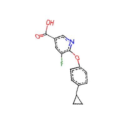 O=C(O)c1cnc(Oc2ccc(C3CC3)cc2)c(F)c1